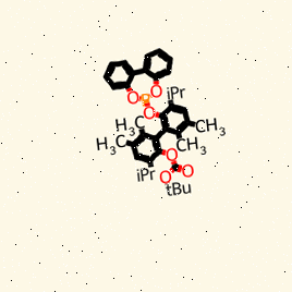 Cc1cc(C(C)C)c(OC(=O)OC(C)(C)C)c(-c2c(C)c(C)cc(C(C)C)c2Op2oc3ccccc3c3ccccc3o2)c1C